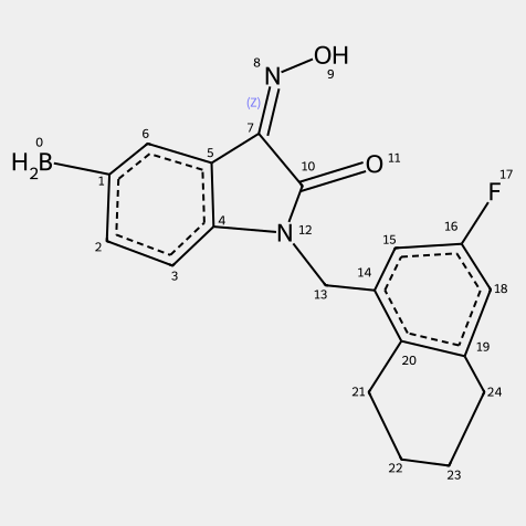 Bc1ccc2c(c1)/C(=N/O)C(=O)N2Cc1cc(F)cc2c1CCCC2